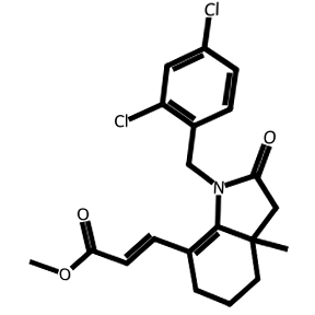 COC(=O)C=CC1=C2N(Cc3ccc(Cl)cc3Cl)C(=O)CC2(C)CCC1